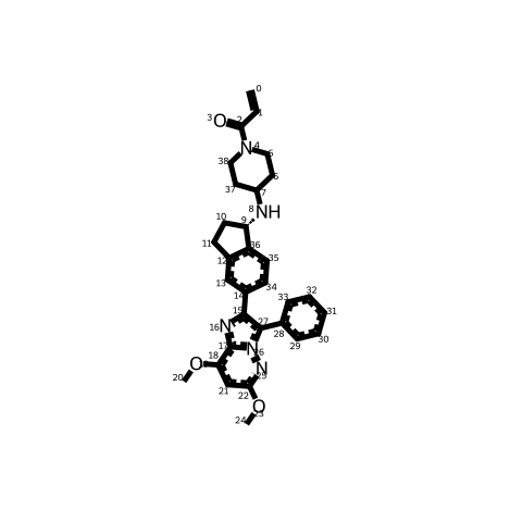 C=CC(=O)N1CCC(N[C@H]2CCc3cc(-c4nc5c(OC)cc(OC)nn5c4-c4ccccc4)ccc32)CC1